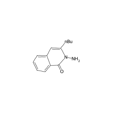 CCCCc1cc2ccccc2c(=O)n1N